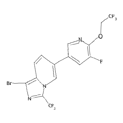 Fc1cc(-c2ccc3c(Br)nc(C(F)(F)F)n3c2)cnc1OCC(F)(F)F